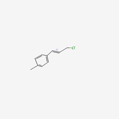 Cc1ccc(/C=C/CCl)cc1